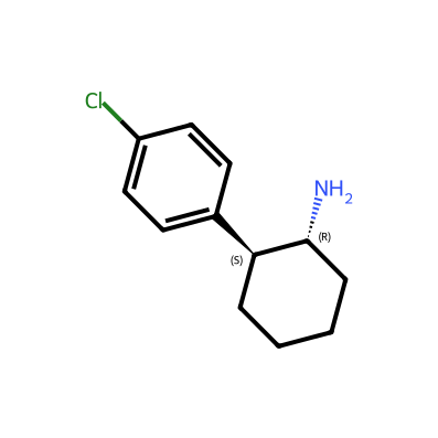 N[C@@H]1CCCC[C@H]1c1ccc(Cl)cc1